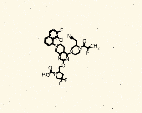 C=C(F)C(=O)N1CCN(c2nc(OCC3CC(F)(F)CN3C(=O)O)nc3c2CCN(c2cccc4ccc(F)c(Cl)c24)C3)CC1CC#N